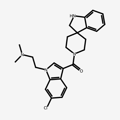 CN(C)CCn1cc(C(=O)N2CCC3(CC2)CNc2ccccc23)c2ccc(Cl)cc21